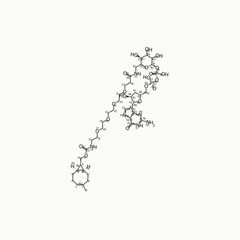 C/C1=C/CC[C@@H]2[C@H](CC1)[C@@H]2COC(=O)NCCOCCOCCOCCOCCC(=O)NCC1O[C@H](OP(=O)(O)OP(=O)(O)OC[C@@H]2C[C@H](O)[C@H](n3cnc4c(=O)[nH]c(N)nc43)O2)C(O)C(O)[C@@H]1O